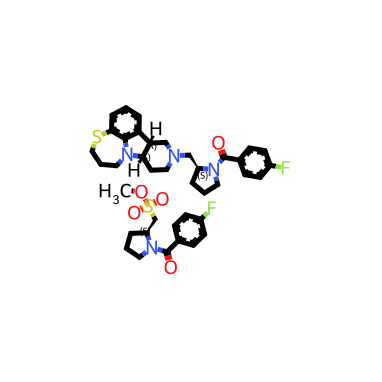 COS(=O)(=O)C[C@@H]1CCCN1C(=O)c1ccc(F)cc1.O=C(c1ccc(F)cc1)N1CCC[C@H]1CN1CC[C@H]2[C@@H](C1)c1cccc3c1N2CCCS3